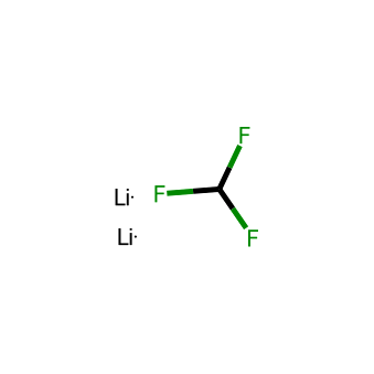 FC(F)F.[Li].[Li]